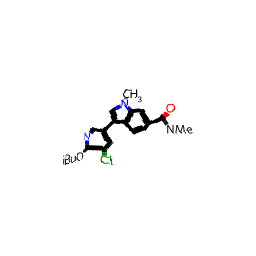 CNC(=O)c1ccc2c(-c3cnc(OCC(C)C)c(Cl)c3)cn(C)c2c1